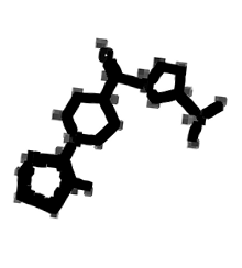 Cc1cccnc1N1CCC(C(=O)N2CCC(N(C)C)C2)CC1